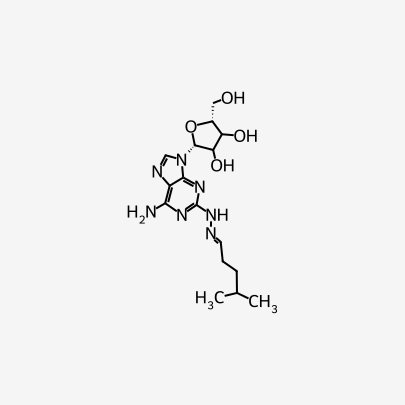 CC(C)CCC=NNc1nc(N)c2ncn([C@@H]3O[C@H](CO)C(O)C3O)c2n1